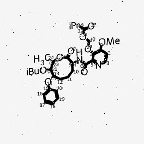 COc1ccnc(C(=O)N[C@H]2CCC[C@H](Oc3ccccc3)[C@@H](OCC(C)C)[C@H](C)OC2=O)c1OCOC(=O)C(C)C